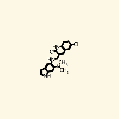 CN(C)c1cc2[nH]ccc2cc1NCc1cc2cc(Cl)ccc2[nH]c1=O